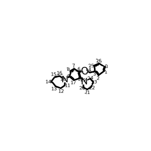 c1ccc(COc2ccc(N3CCCCCC3)cc2N2CCCCC2)cc1